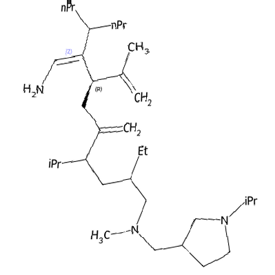 C=C(C[C@H](C(=C)C)/C(=C\N)C(CCC)CCC)C(CC(CC)CN(C)CC1CCN(C(C)C)C1)C(C)C